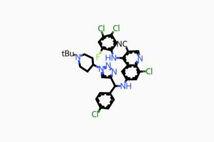 CC(C)(C)N1CCC(n2cc(C(Nc3cc(Cl)c4ncc(C#N)c(Nc5cc(Cl)c(Cl)cc5F)c4c3)c3ccc(Cl)cc3)nn2)CC1